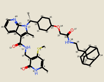 CSc1cc(C)[nH]c(=O)c1CNC(=O)c1c(C)n([C@H](C)C2CCC(OCC(=O)NCCC34CC5CC(CC(C5)C3)C4)CC2)c2ncccc12